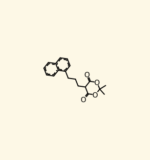 CC1(C)OC(=O)C(CCCc2cccc3ccccc23)C(=O)O1